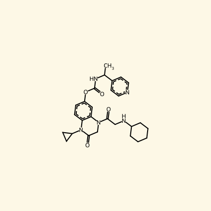 CC(NC(=O)Oc1ccc2c(c1)N(C(=O)CNC1CCCCC1)CC(=O)N2C1CC1)c1ccncc1